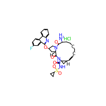 Cl.N[C@H]1CCCCC/C=C\[C@@H]2C[C@@]2(C(=O)NS(=O)(=O)C2CC2)NC(=O)[C@@H]2C[C@@H](Oc3nc4ccccc4c4ccc(F)cc34)CN2C1=O